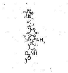 CCOC(=O)Nc1ccc(-c2c(N)c3ccc(OCCCn4ccnn4)cc3n2CC)cc1